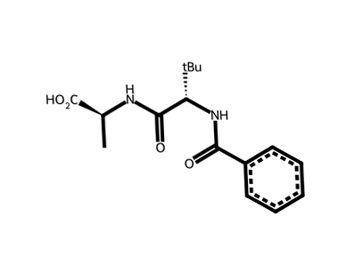 C[C@H](NC(=O)[C@@H](NC(=O)c1ccccc1)C(C)(C)C)C(=O)O